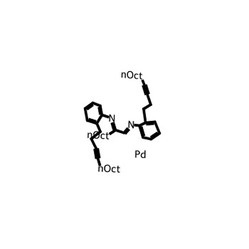 CCCCCCCCC#CCCc1ccccc1N=CC(CCCCCCCC)=Nc1ccccc1CCC#CCCCCCCCC.[Pd]